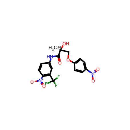 C[C@](O)(COc1ccc([N+](=O)[O-])cc1)C(=O)Nc1ccc([N+](=O)[O-])c(C(F)(F)F)c1